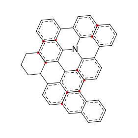 c1ccc(-c2ccccc2N(c2cc(-c3cccc4ccccc34)ccc2-c2ccccc2)c2ccccc2-c2cccc3cccc(C4CCCCC4)c23)cc1